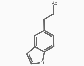 CC(=O)CCc1ccc2occc2c1